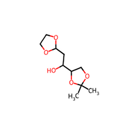 CC1(C)OCC(C(O)CC2OCCO2)O1